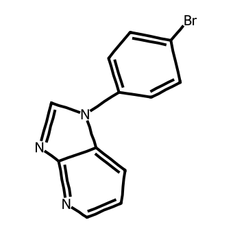 Brc1ccc(-n2cnc3ncccc32)cc1